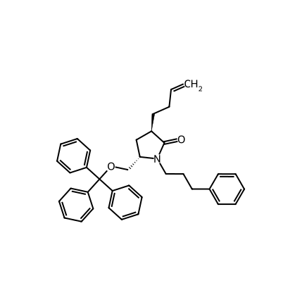 C=CCC[C@@H]1C[C@@H](COC(c2ccccc2)(c2ccccc2)c2ccccc2)N(CCCc2ccccc2)C1=O